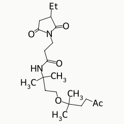 CCC1CC(=O)N(CCC(=O)NC(C)(C)CCOC(C)(C)CCC(C)=O)C1=O